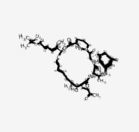 CC(=O)CC[C@H]1C(=O)NC(C(C)C)C(=O)N[C@@H](Cc2cc(O)cc(F)c2)C(=O)N2CCCC(N2)C(=O)O[C@H](/C(C)=C/C=C/C(=O)OC(C)(C)C)C/C=C/C=C/C[C@H](C)[C@H]1O